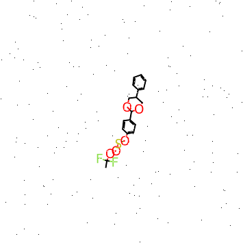 CC(F)(F)OOSOc1ccc(C2OCC(c3ccccc3)CO2)cc1